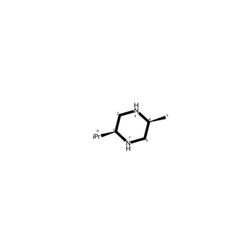 CC(C)[C@H]1CN[C@@H](C)CN1